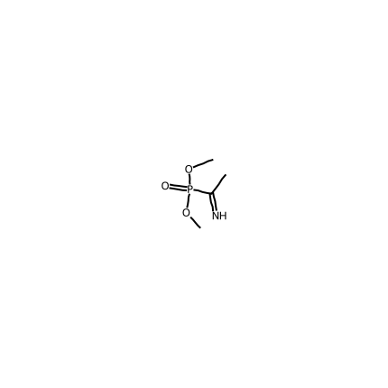 COP(=O)(OC)C(C)=N